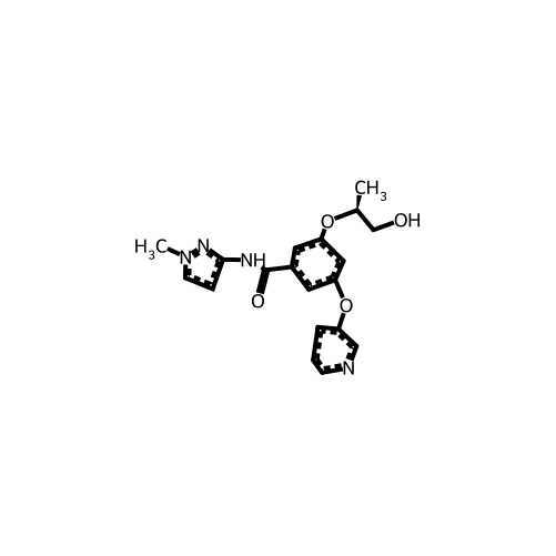 C[C@@H](CO)Oc1cc(Oc2cccnc2)cc(C(=O)Nc2ccn(C)n2)c1